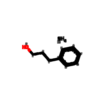 OCCCc1ccccc1.[SiH4]